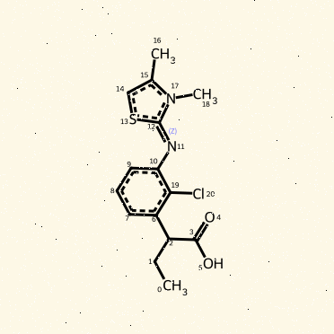 CCC(C(=O)O)c1cccc(/N=c2\scc(C)n2C)c1Cl